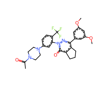 COc1cc(OC)cc(-c2nn(-c3cc(N4CCN(C(C)=O)CC4)ccc3C(F)(F)F)c(=O)c3c2CCC3)c1